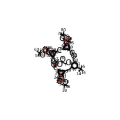 CC(C)(C)OC(=O)COc1c2cc(C(C)(C)C)cc1Cc1cc(C(C)(C)C)cc(c1OCC(=O)OC(C)(C)C)COCc1cc(C(C)(C)C)cc(c1OCC(=O)OC(C)(C)C)Cc1cc(C(C)(C)C)cc(c1OCC(=O)OC(C)(C)C)COC2